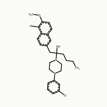 CCCCC(O)(Cc1ccc2c(Cl)c(OC)ccc2c1)N1CCN(c2cccc(Cl)c2)CC1